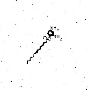 CCCCCCCCCCCCCC(=O)Oc1ccc(N)cc1N